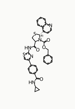 O=C(NC1CC1)c1ccc(-c2csc(NC(=O)C3CS[C@H](c4ccnc5ccccc45)N3C(=O)OCc3ccccc3)n2)cc1